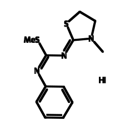 CSC(=Nc1ccccc1)N=C1SCCN1C.I